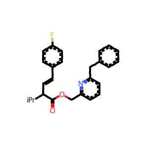 CC(C)C(C=Cc1ccc(F)cc1)C(=O)OCc1cccc(Cc2ccccc2)n1